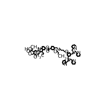 CCCC(=O)N(CCCCOc1cc(CN(Cc2ccccn2)Cc2ccccn2)cc(CN(Cc2ccccn2)Cc2ccccn2)c1)Cc1ccc(C(=O)Oc2ccc3nc4c(c(CC)c3c2)Cn2c-4cc3c(c2=O)COC(=O)[C@@]3(O)CC)cc1